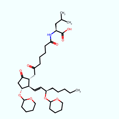 CCCCC[C@H](/C=C/[C@H]1[C@H](OC2CCCCO2)CC(=O)[C@@H]1CC(=O)CCCCC(=O)N[C@@H](CC(C)C)C(=O)O)OC1CCCCO1